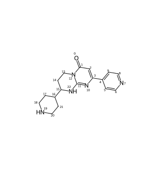 O=c1cc(-c2ccncc2)nc2n1CCC(C1CCNCC1)N2